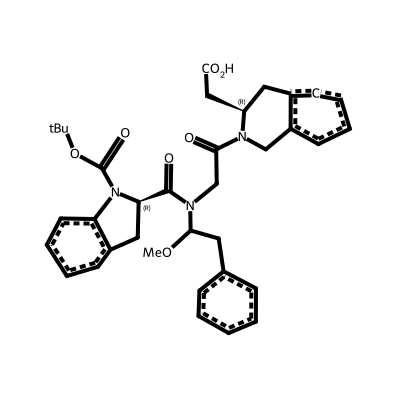 COC(Cc1ccccc1)N(CC(=O)N1Cc2ccccc2C[C@@H]1CC(=O)O)C(=O)[C@H]1Cc2ccccc2N1C(=O)OC(C)(C)C